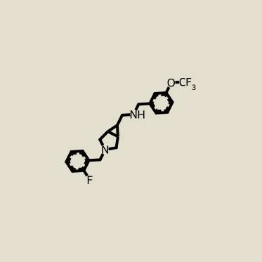 Fc1ccccc1CN1CC2C(CNCc3cccc(OC(F)(F)F)c3)C2C1